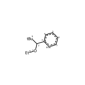 CCOC(c1ccccn1)C(C)(C)C